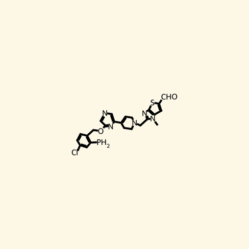 Cn1c(CN2CC=C(c3cncc(OCc4ccc(Cl)cc4P)n3)CC2)nc2sc(C=O)cc21